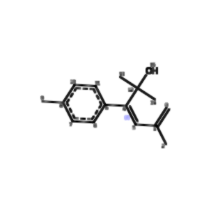 C=C(C)/C=C(/c1ccc(C)cc1)C(C)(C)O